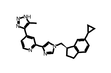 Cc1[nH]nnc1-c1ccnc(-c2cn(C[C@@H]3CCc4ccc(C5CC5)cc43)cn2)c1